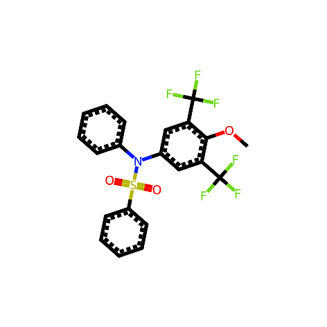 COc1c(C(F)(F)F)cc(N(c2ccccc2)S(=O)(=O)c2ccccc2)cc1C(F)(F)F